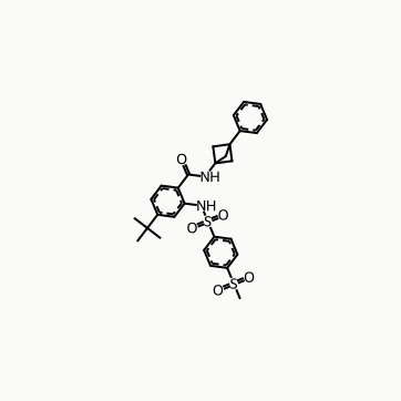 CC(C)(C)c1ccc(C(=O)NC23CC(c4ccccc4)(C2)C3)c(NS(=O)(=O)c2ccc(S(C)(=O)=O)cc2)c1